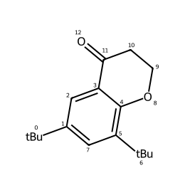 CC(C)(C)c1cc2c(c(C(C)(C)C)c1)OCCC2=O